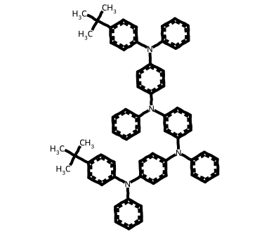 CC(C)(C)c1ccc(N(c2ccccc2)c2ccc(N(c3ccccc3)c3cccc(N(c4ccccc4)c4ccc(N(c5ccccc5)c5ccc(C(C)(C)C)cc5)cc4)c3)cc2)cc1